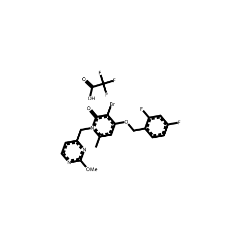 COc1nccc(Cn2c(C)cc(OCc3ccc(F)cc3F)c(Br)c2=O)n1.O=C(O)C(F)(F)F